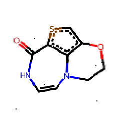 O=C1NC=CN2CCOc3csc1c32